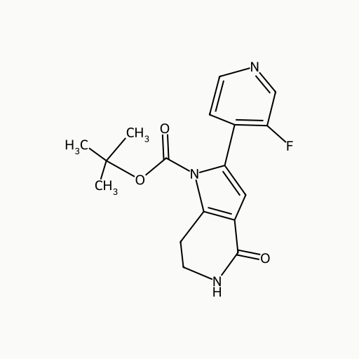 CC(C)(C)OC(=O)n1c(-c2ccncc2F)cc2c1CCNC2=O